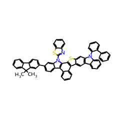 CC1(C)c2ccccc2-c2ccc(-c3ccc4c5c6ccccc6c6c7cc8c9ccccc9n(-c9ccccc9-c9ccccc9)c8cc7sc6c5n(-c5nc6ccccc6s5)c4c3)cc21